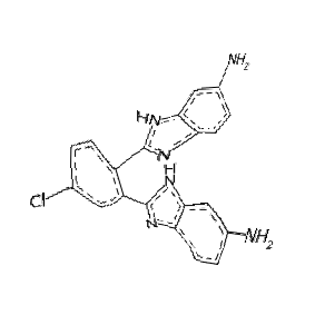 Nc1ccc2nc(-c3ccc(Cl)cc3-c3nc4ccc(N)cc4[nH]3)[nH]c2c1